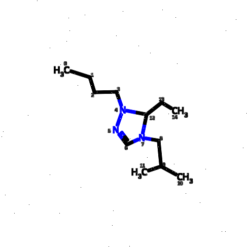 CCCCN1N=CN(CC(C)C)C1CC